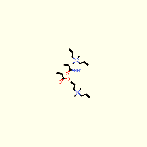 C=CC(=O)[O-].C=CC([NH-])=O.C=CC[N+](C)(C)CC=C.C=CC[N+](C)(C)CC=C